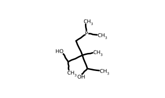 CC(O)C(C)(CP(C)C)C(C)O